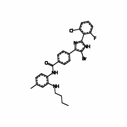 CCCCNc1cc(C)ccc1NC(=O)c1ccc(-c2nc(-c3c(F)cccc3Cl)[nH]c2Br)cc1